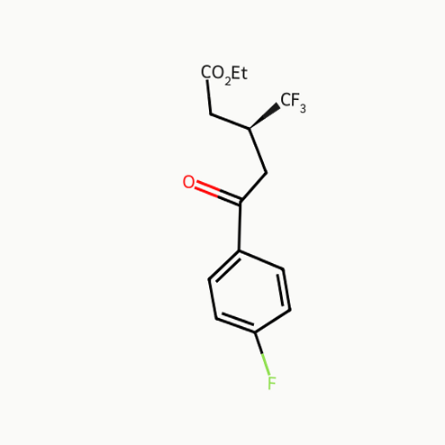 CCOC(=O)C[C@H](CC(=O)c1ccc(F)cc1)C(F)(F)F